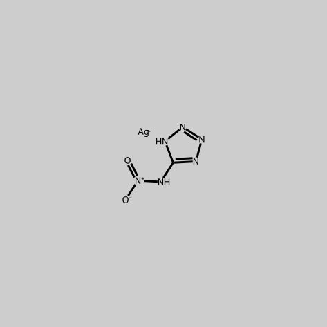 O=[N+]([O-])Nc1nnn[nH]1.[Ag]